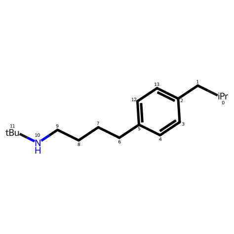 CC(C)Cc1ccc(CCCCNC(C)(C)C)cc1